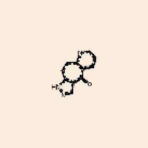 O=c1c2cccnc2ccc2[nH]ncc12